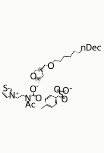 CCCCCCCCCCCCCCCCOC[C@@H]1CO[C@@H](COC(=O)N(CC[n+]2ccsc2)C(C)=O)C1.Cc1ccc(S(=O)(=O)[O-])cc1